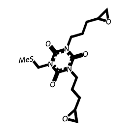 CSCn1c(=O)n(CCCC2CO2)c(=O)n(CCCC2CO2)c1=O